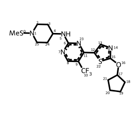 CSN1CCC(Nc2ncc(C(F)(F)F)c(-c3cnc(OC4CCCC4)s3)n2)CC1